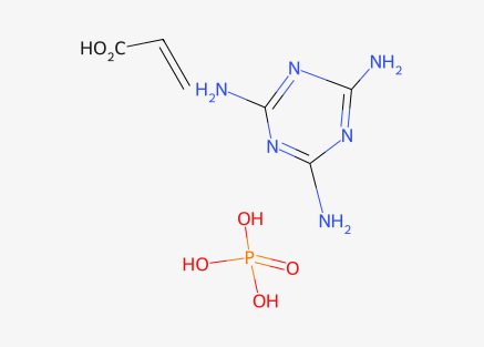 C=CC(=O)O.Nc1nc(N)nc(N)n1.O=P(O)(O)O